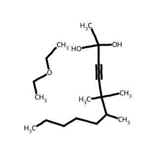 CCCCCC(C)C(C)(C)C#CC(C)(O)O.CCOCC